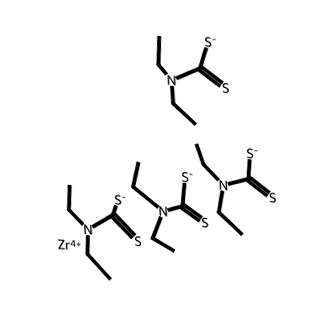 CCN(CC)C(=S)[S-].CCN(CC)C(=S)[S-].CCN(CC)C(=S)[S-].CCN(CC)C(=S)[S-].[Zr+4]